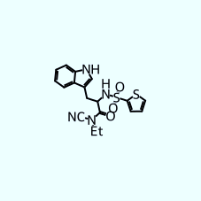 CCN(C#N)C(=O)C(Cc1c[nH]c2ccccc12)NS(=O)(=O)c1cccs1